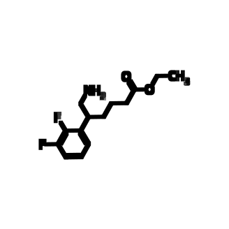 CCOC(=O)CCCC(CN)c1cccc(F)c1F